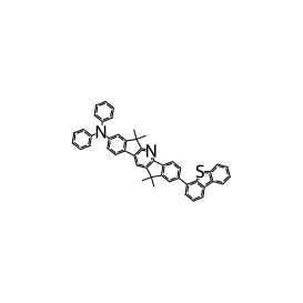 CC1(C)c2cc(-c3cccc4c3sc3ccccc34)ccc2-c2nc3c(cc21)-c1ccc(N(c2ccccc2)c2ccccc2)cc1C3(C)C